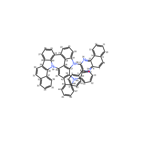 c1ccc(-c2nc3ccc4ccccc4c3nc2-n2c3cccc4c5cccc6c7ccc8ccccc8c7n(c7cc8c9ccccc9n(-c9ccccc9)c8c2c7c43)c56)cc1